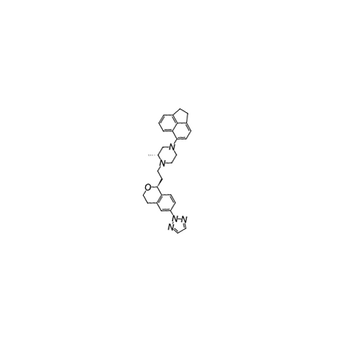 C[C@@H]1CN(c2ccc3c4c(cccc24)CC3)CCN1CC[C@@H]1OCCc2cc(-n3nccn3)ccc21